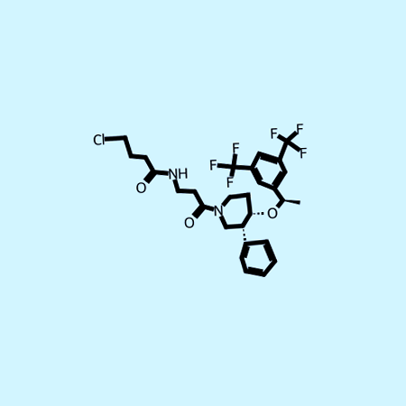 C[C@@H](O[C@H]1CCN(C(=O)CCNC(=O)CCCCl)C[C@H]1c1ccccc1)c1cc(C(F)(F)F)cc(C(F)(F)F)c1